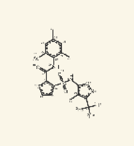 [2H]C([2H])([2H])c1noc(NS(=O)(=O)c2ccsc2C(=O)Nc2c(C)cc(C)cc2C(C)=O)c1C